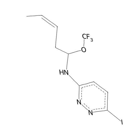 C/C=C\CC(Nc1ccc(I)nn1)OC(F)(F)F